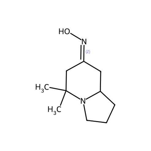 CC1(C)C/C(=N\O)CC2CCCN21